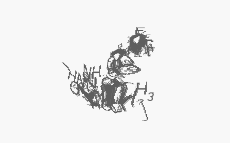 C[C@@H]1[C@@H](COP2(=O)OCC[C@H](c3cc(F)cc(F)c3)O2)O[C@@H](n2ccc3c(=O)[nH]c(N)nc32)[C@]1(C)O